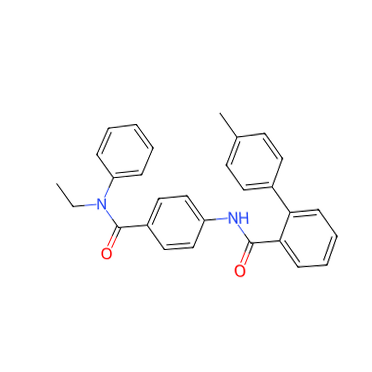 CCN(C(=O)c1ccc(NC(=O)c2ccccc2-c2ccc(C)cc2)cc1)c1ccccc1